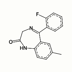 Cc1ccc2c(c1)C(c1ccccc1F)=NCC(=O)N2